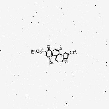 CCOC(=O)c1cn(C2CC2)c2c3c(c(F)cc2c1=O)N1C[C@H](O)C[C@H]1CCC3